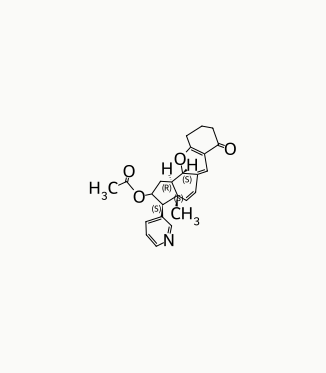 CC(=O)OC1C[C@H]2[C@@H]3OC4=C(C=C3C=C[C@]2(C)[C@H]1c1cccnc1)C(=O)CCC4